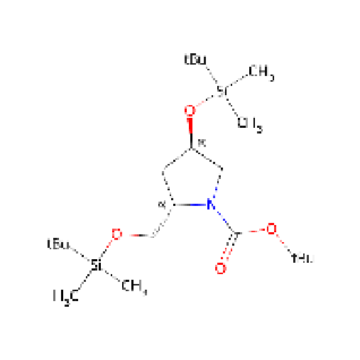 CC(C)(C)OC(=O)N1C[C@H](O[Si](C)(C)C(C)(C)C)C[C@H]1CO[Si](C)(C)C(C)(C)C